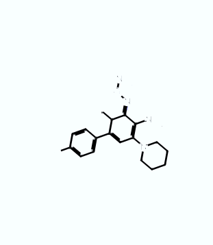 NO/N=C1/C([N+](=O)[O-])=C(N2CCCCC2)C=C(c2ccc(C(F)(F)F)cc2)C1I